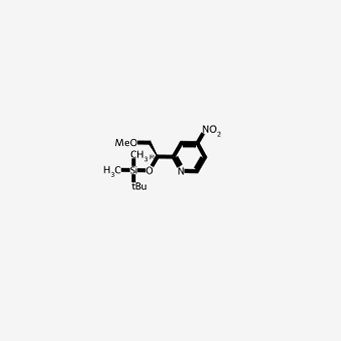 COC[C@H](O[Si](C)(C)C(C)(C)C)c1cc([N+](=O)[O-])ccn1